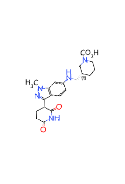 Cn1nc(C2CCC(=O)NC2=O)c2ccc(NC[C@H]3CCCN(C(=O)O)C3)cc21